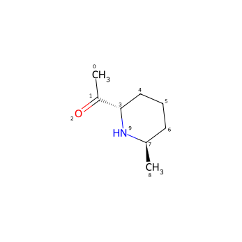 CC(=O)[C@@H]1CCC[C@@H](C)N1